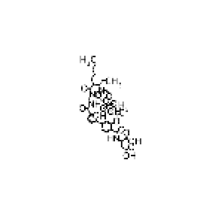 CCCCCC(C(=O)NCNC(=O)c1ccc(-c2ccc(C(=O)NC(CC(=O)O)C(=O)O)c(OCC)c2)o1)[C@@H](CC)N(C=O)OCOP(=O)(O)O